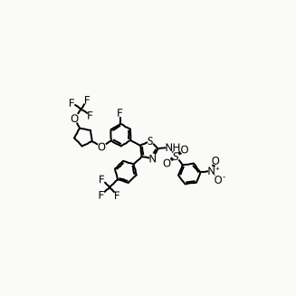 O=[N+]([O-])c1cccc(S(=O)(=O)Nc2nc(-c3ccc(C(F)(F)F)cc3)c(-c3cc(F)cc(OC4CCC(OC(F)(F)F)C4)c3)s2)c1